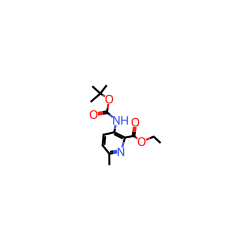 CCOC(=O)c1nc(C)ccc1NC(=O)OC(C)(C)C